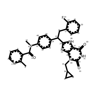 Cc1ncccc1C(=O)N(C)c1ccc(C(Cc2ccccc2F)c2nc3c([nH]2)c(=O)[nH]c(=O)n3CC2CC2)cc1